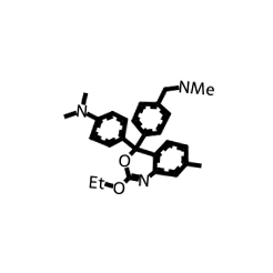 CCOC1=Nc2cc(C)ccc2C(c2ccc(CNC)cc2)(c2ccc(N(C)C)cc2)O1